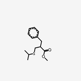 COC(=O)C(CSC(C)C)Cc1ccccc1